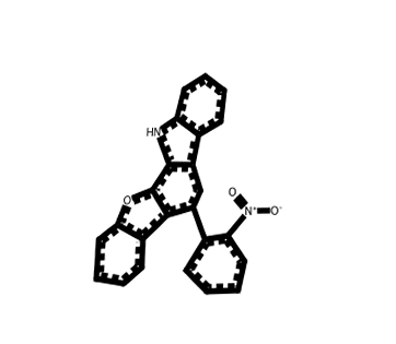 O=[N+]([O-])c1ccccc1-c1cc2c3ccccc3[nH]c2c2oc3ccccc3c12